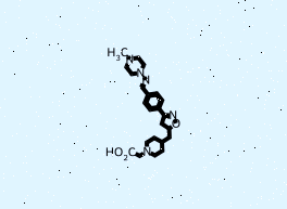 CN1CCN(N=Cc2ccc(C3=NOC(CC4CCN(CC(=O)O)CC4)C3)cc2)CC1